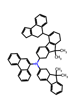 CC1(C)C2=C(C=CC(N(C3=CC=C4c5ccccc5C(C)(C)C4C3)c3cc4ccccc4c4ccccc34)C2)C2=C1CCC=C2C1CC2=C(C=CC2)c2ccccc21